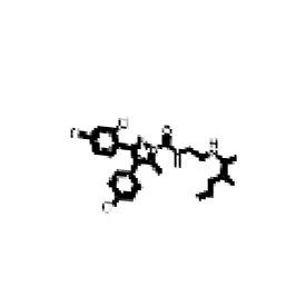 C=CCC(C)C(C)NCCNC(=O)n1nc(-c2ccc(Cl)cc2Cl)c(-c2ccc(Cl)cc2)c1C